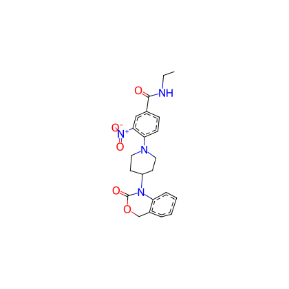 CCNC(=O)c1ccc(N2CCC(N3C(=O)OCc4ccccc43)CC2)c([N+](=O)[O-])c1